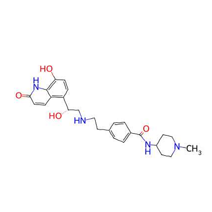 CN1CCC(NC(=O)c2ccc(CCNC[C@H](O)c3ccc(O)c4[nH]c(=O)ccc34)cc2)CC1